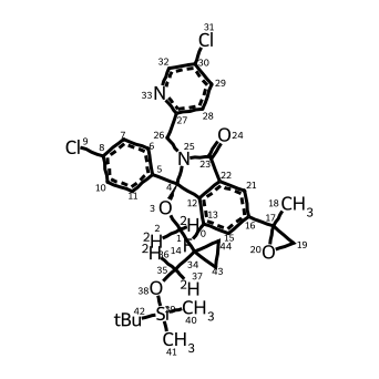 [2H]C([2H])(O[C@]1(c2ccc(Cl)cc2)c2c(F)cc(C3(C)CO3)cc2C(=O)N1Cc1ccc(Cl)cn1)C1(C([2H])([2H])O[Si](C)(C)C(C)(C)C)CC1